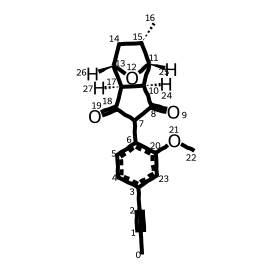 CC#Cc1ccc(C2C(=O)[C@@H]3[C@@H]4O[C@@H](C[C@@H]4C)[C@@H]3C2=O)c(OC)c1